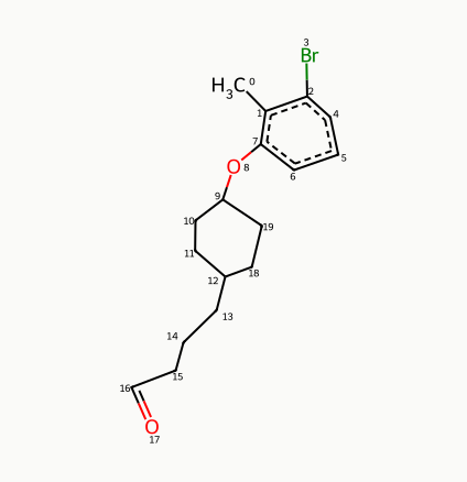 Cc1c(Br)cccc1OC1CCC(CCCC=O)CC1